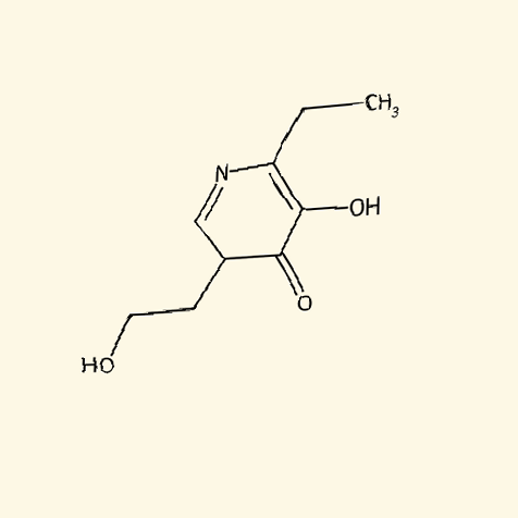 CCC1=C(O)C(=O)C(CCO)C=N1